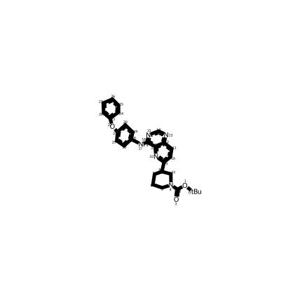 CC(C)(C)OC(=O)N1CCCC(c2ccc3ncnc(Nc4ccc(Oc5ccccc5)cc4)c3n2)C1